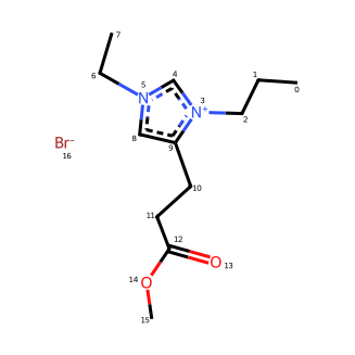 CCC[n+]1cn(CC)cc1CCC(=O)OC.[Br-]